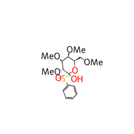 COC[C@H]1O[C@](O)([S+]([O-])c2ccccc2)[C@H](OC)[C@@H](OC)[C@H]1OC